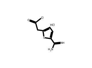 Cl.N=C(N)c1ccc(CC(=O)Cl)s1